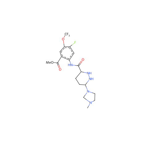 COC(=O)c1cc(OC(F)(F)F)c(F)cc1NC(=O)C1CCC(N2CCN(C)C2)NN1